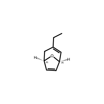 CCC1=C[C@H]2C=C[C@@H](C1)O2